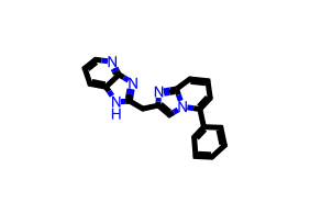 c1ccc(-c2cccc3nc(Cc4nc5ncccc5[nH]4)cn23)cc1